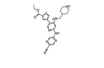 CCOC(=O)c1cc(-c2cnc(Nc3cnc(C#N)cn3)cc2NCC2CCNCC2)cs1